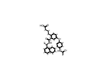 CC(=O)Nc1ccc(Oc2ccc(CCCC(=O)O)c(C(=O)N[C@H](C)c3cccc4ccccc34)c2)cc1